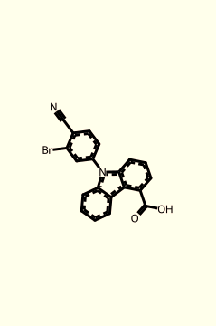 N#Cc1ccc(-n2c3ccccc3c3c(C(=O)O)cccc32)cc1Br